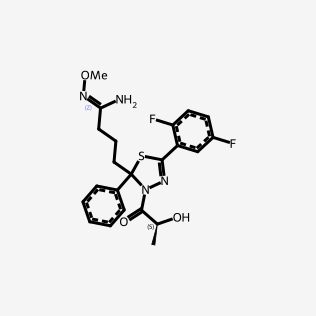 CO/N=C(\N)CCCC1(c2ccccc2)SC(c2cc(F)ccc2F)=NN1C(=O)[C@H](C)O